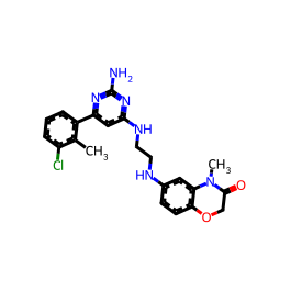 Cc1c(Cl)cccc1-c1cc(NCCNc2ccc3c(c2)N(C)C(=O)CO3)nc(N)n1